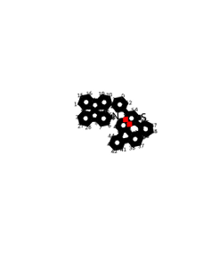 c1ccc(N(c2ccc3c(c2)C2(c4ccccc4-c4ccccc42)c2ccccc2-3)c2ccc3c4ccccc4c4ccccc4c3c2)c(-c2ccc3c(c2)sc2ccccc23)c1